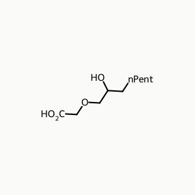 CCCCCCC(O)COCC(=O)O